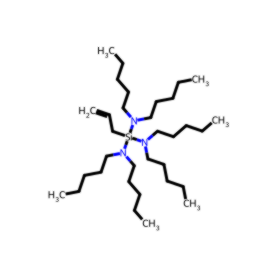 C=CC[Si](N(CCCCC)CCCCC)(N(CCCCC)CCCCC)N(CCCCC)CCCCC